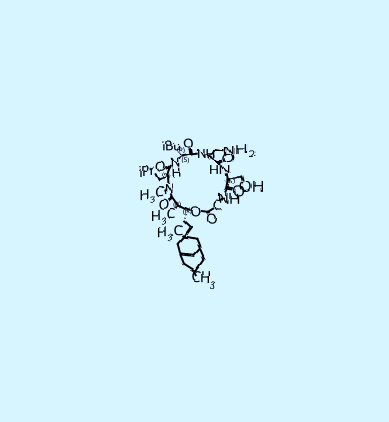 CC[C@@H](C)[C@@H]1NC(=O)[C@H](CC(C)C)N(C)C(=O)[C@H](C)[C@@H](CCC2(C)CC3CC(C)CC(C3)C2)OC(=O)CNC(=O)[C@H](CO)NC(=O)[C@H](CN)NC1=O